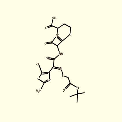 CC(C)(C)OC(=O)CON=C(C(=O)NC1C(=O)[N+]2=C1SCCC2C(=O)O)c1nc(N)sc1Cl